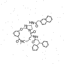 CN1CCC[C@H](NC(=O)CC(c2ccccc2)c2ccccc2)C(=O)N2C[C@@H](NC(=O)Cc3ccc4ccccc4c3)C[C@H]2COc2cccc(c2)C1=O